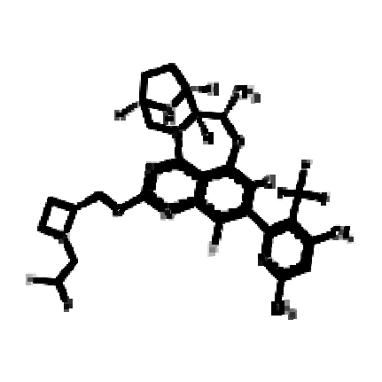 Cc1cc(N)nc(-c2c(Cl)c3c4c(nc(OC[C@@H]5CCN5CC(F)F)nc4c2F)N2C[C@H]4CC[C@H](N4)[C@H]2[C@H](C)O3)c1C(F)(F)F